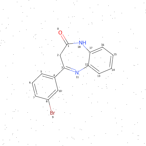 O=C1CC(c2cccc(Br)c2)=Nc2ccccc2N1